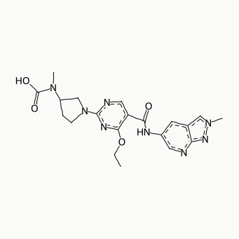 CCOc1nc(N2CCC(N(C)C(=O)O)C2)ncc1C(=O)Nc1cnc2nn(C)cc2c1